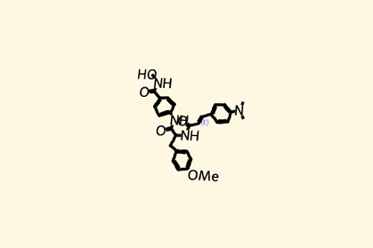 COc1ccc(CC(NC(=O)/C=C/c2ccc(N(C)C)cc2)C(=O)Nc2ccc(C(=O)NO)cc2)cc1